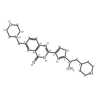 CN(CC1CCOCC1)c1nc(-c2nc3ccc(CN4CCOCC4)cc3c(=O)o2)cs1